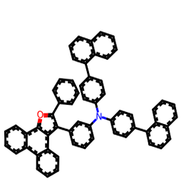 c1ccc(-c2oc3c4ccccc4c4ccccc4c3c2-c2cccc(N(c3ccc(-c4cccc5ccccc45)cc3)c3ccc(-c4cccc5ccccc45)cc3)c2)cc1